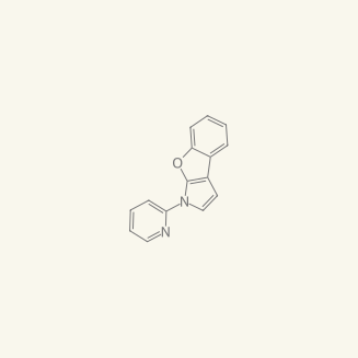 c1ccc(-n2ccc3c4ccccc4oc32)nc1